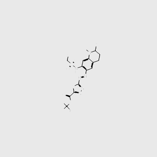 CCC1CCc2cc(N=Nc3nnc(C(=O)OC(F)(F)C(F)(F)F)s3)c(NS(=O)(=O)CC(F)(F)F)cc2N1CC